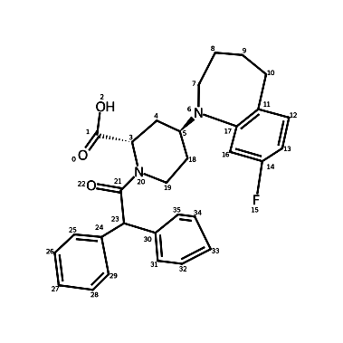 O=C(O)[C@@H]1C[C@@H](N2CCCCc3ccc(F)cc32)CCN1C(=O)C(c1ccccc1)c1ccccc1